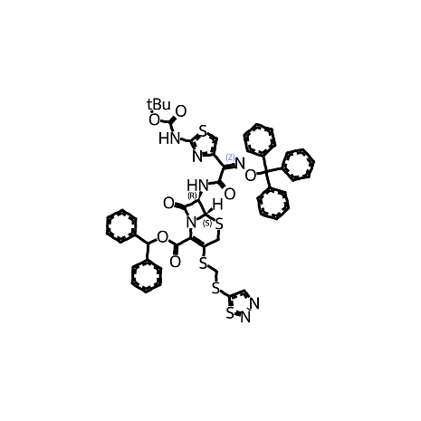 CC(C)(C)OC(=O)Nc1nc(/C(=N/OC(c2ccccc2)(c2ccccc2)c2ccccc2)C(=O)N[C@@H]2C(=O)N3C(C(=O)OC(c4ccccc4)c4ccccc4)=C(SCSc4cnns4)CS[C@@H]23)cs1